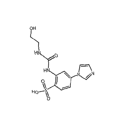 O=C(NCCO)Nc1cc(-n2ccnc2)ccc1S(=O)(=O)O